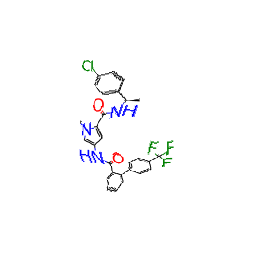 C[C@@H](NC(=O)c1cc(NC(=O)c2ccccc2-c2ccc(C(F)(F)F)cc2)cn1C)c1ccc(Cl)cc1